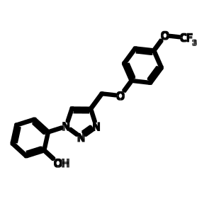 Oc1ccccc1-n1cc(COc2ccc(OC(F)(F)F)cc2)nn1